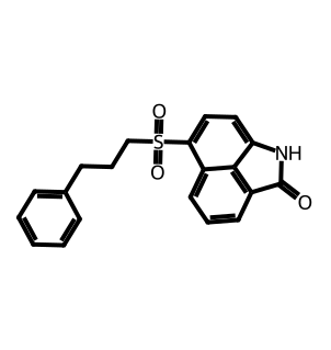 O=C1Nc2ccc(S(=O)(=O)CCCc3ccccc3)c3cccc1c23